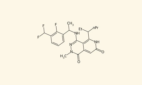 CCCC(CC)c1[nH]c(=O)cc2c(=O)n(C)nc(NC(C)c3cccc(C(F)F)c3F)c12